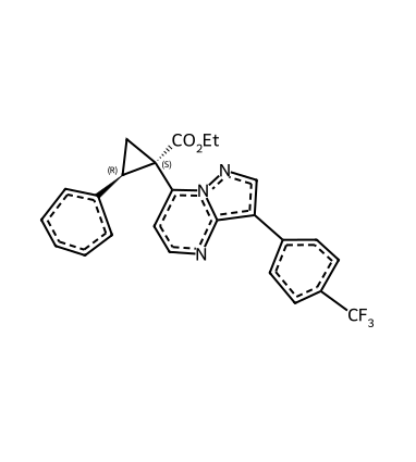 CCOC(=O)[C@@]1(c2ccnc3c(-c4ccc(C(F)(F)F)cc4)cnn23)C[C@@H]1c1ccccc1